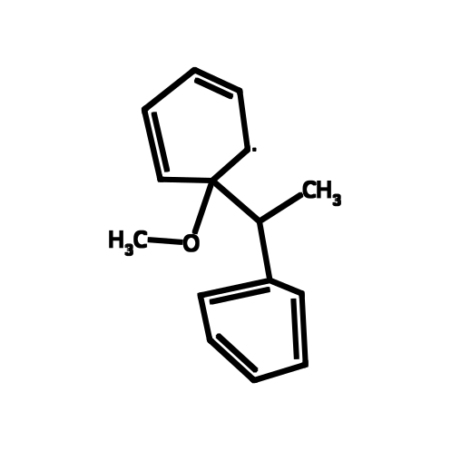 COC1(C(C)c2ccccc2)[CH]C=CC=C1